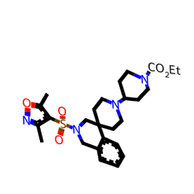 CCOC(=O)N1CCC(N2CCC3(CC2)CN(S(=O)(=O)c2c(C)noc2C)Cc2ccccc23)CC1